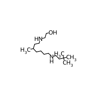 CC(CCCCNCCC(C)(C)C)CCNCCO